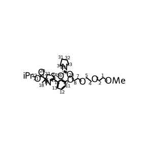 COCCOCCOCCOc1cccc(C2=NC(C)(C(=O)OC(C)C)CS2)c1OC(=O)N1CCCC1